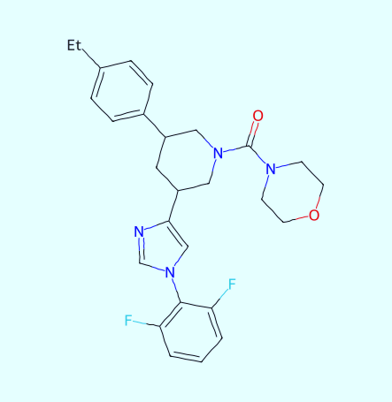 CCc1ccc(C2CC(c3cn(-c4c(F)cccc4F)cn3)CN(C(=O)N3CCOCC3)C2)cc1